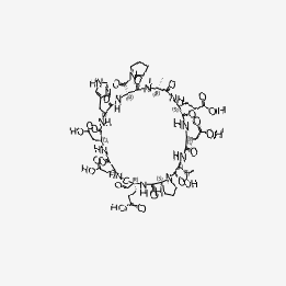 C[C@@H]1C(=O)N[C@@H](CCC(=O)O)C(=O)N[C@@H](CC(=O)O)C(=O)N[C@@H]([C@@H](C)O)C(=O)N2CCC[C@H]2C(=O)N[C@](C=O)(CCC(=O)O)CN[C@@H](CC(=O)O)C(=O)N[C@@H](CC(=O)O)C(=O)N[C@@H](Cc2c[nH]cn2)C(=O)N[C@H](C(=O)N2CCCC2)C(=O)N1C